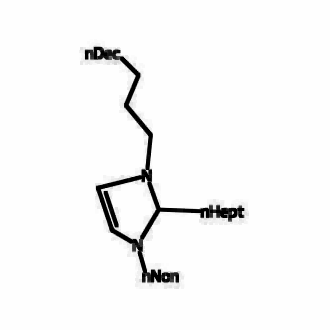 CCCCCCCCCCCCCN1C=CN(CCCCCCCCC)C1CCCCCCC